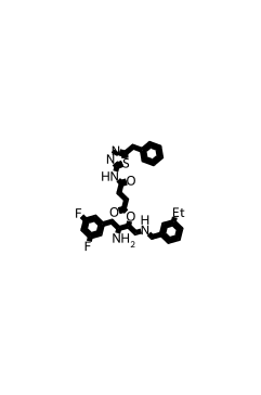 CCc1cccc(CNCC(OC(=O)CCC(=O)Nc2nnc(Cc3ccccc3)s2)C(N)Cc2cc(F)cc(F)c2)c1